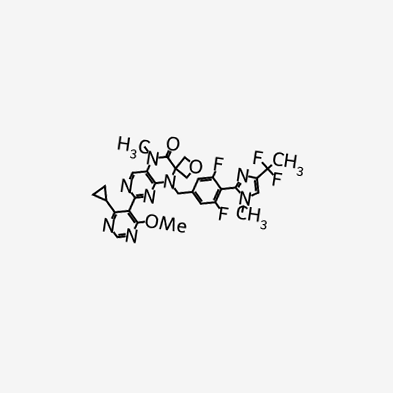 COc1ncnc(C2CC2)c1-c1ncc2c(n1)N(Cc1cc(F)c(-c3nc(C(C)(F)F)cn3C)c(F)c1)C1(COC1)C(=O)N2C